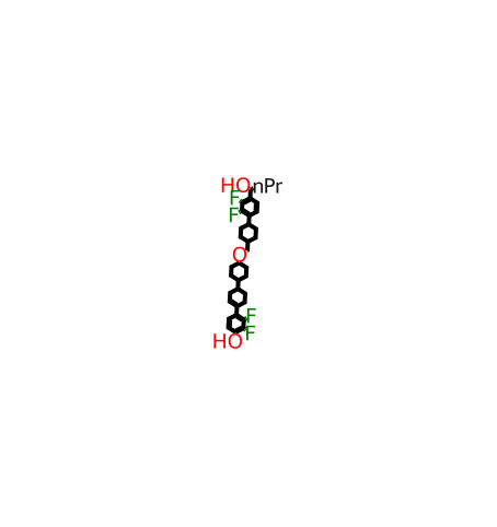 CCCC(O)c1ccc(C2CCC(COC3CCC(C4CC=C(c5ccc(O)c(F)c5F)CC4)CC3)CC2)c(F)c1F